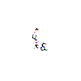 CC(C)(C)OC(=O)N1CCC(F)(c2nnc([C@]34CN(c5ccc(C(F)(F)F)c6ncccc56)C[C@@]3(C(F)(F)F)C4)o2)CC1